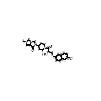 CN1C=C2C(=O)N(C3CCN(C(=O)[C@@H](O)CSc4ccc5cc(Cl)ccc5c4)CC3)CN2C1